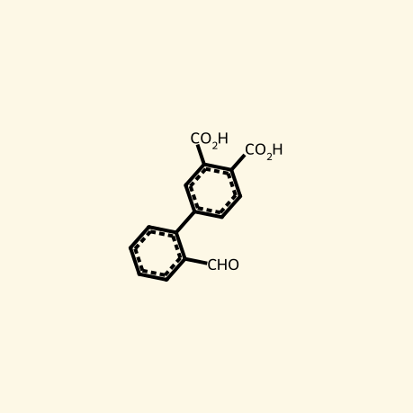 O=Cc1ccccc1-c1ccc(C(=O)O)c(C(=O)O)c1